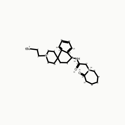 CC(C)(C)CCN1CCC2(CC[C@H](NC(=O)CN3CCCCCC3=O)c3ccccc32)CC1